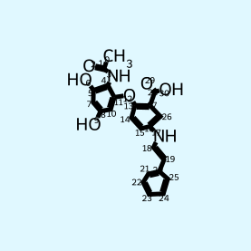 CC(=O)Nc1c(O)cc(O)cc1Oc1ccc(N/C=C/c2ccccc2)cc1C(=O)O